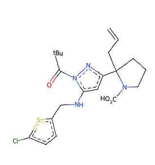 C=CCC1(c2cc(NCc3ccc(Cl)s3)n(C(=O)C(C)(C)C)n2)CCCN1C(=O)O